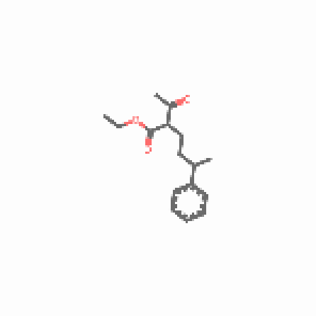 CCOC(=O)C(CCC(C)c1ccccc1)C(C)=O